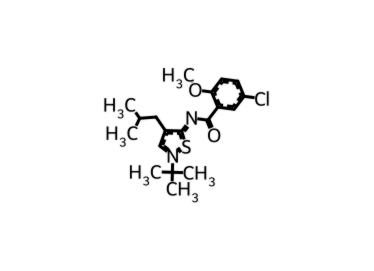 COc1ccc(Cl)cc1C(=O)N=c1sn(C(C)(C)C)cc1CC(C)C